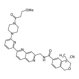 COCCC(=O)N1CCN(c2cccc(-c3ccc4cnc(CNC(=O)c5ccc6c(c5)[C@](C)(C#N)COC6)cc4n3)n2)CC1